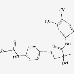 CCC(=O)Nc1ccc(SCC(C)(O)C(=O)Nc2ccc(C#N)c(C(F)(F)F)c2)cc1